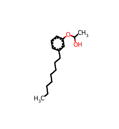 CCCCCCCCc1cccc(OC(C)O)c1